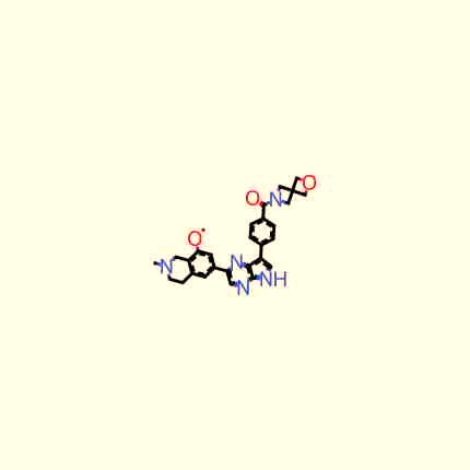 COc1cc(-c2cnc3[nH]cc(-c4ccc(C(=O)N5CC6(COC6)C5)cc4)c3n2)cc2c1CN(C)CC2